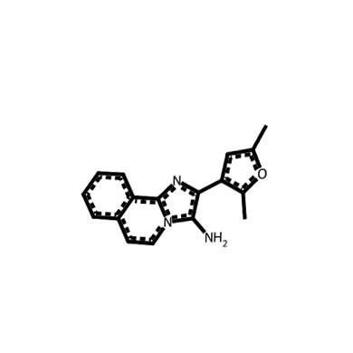 Cc1cc(-c2nc3c4ccccc4ccn3c2N)c(C)o1